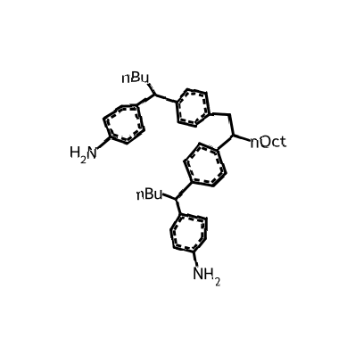 CCCCCCCCC(Cc1ccc(C(CCCC)c2ccc(N)cc2)cc1)c1ccc(C(CCCC)c2ccc(N)cc2)cc1